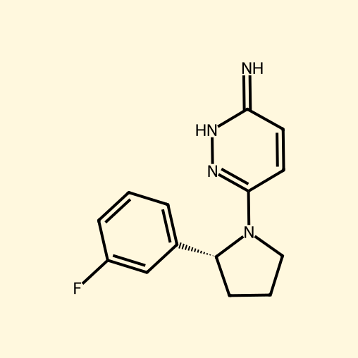 N=c1ccc(N2CCC[C@@H]2c2cccc(F)c2)n[nH]1